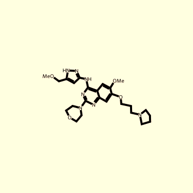 COCc1cc(Nc2nc(N3CCOCC3)nc3cc(OCCCN4CCCC4)c(OC)cc23)n[nH]1